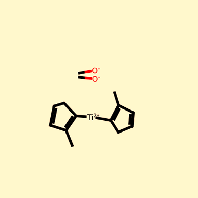 CC1=[C]([Ti+2][C]2=C(C)C=CC2)CC=C1.C[O-].C[O-]